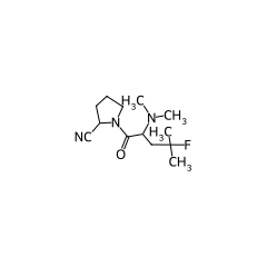 CN(C)C(CC(C)(C)F)C(=O)N1CCCC1C#N